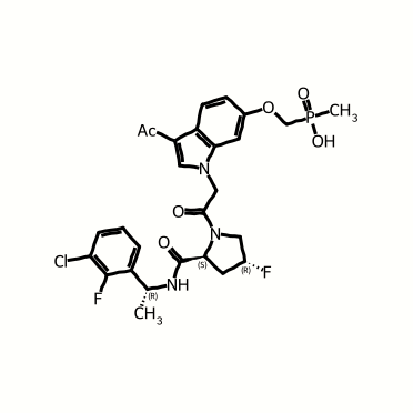 CC(=O)c1cn(CC(=O)N2C[C@H](F)C[C@H]2C(=O)N[C@H](C)c2cccc(Cl)c2F)c2cc(OCP(C)(=O)O)ccc12